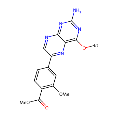 CCOc1nc(N)nc2ncc(-c3ccc(C(=O)OC)c(OC)c3)nc12